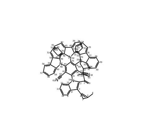 C=C(c1c(C2=C(C)C2)c2ccccc2n1-c1c(C#N)c(-n2c3ccccc3c3ccccc32)c(-n2c3ccccc3c3ccccc32)c(-n2c3ccccc3c3ccccc32)c1C#N)C(C)(C)C(C)CC